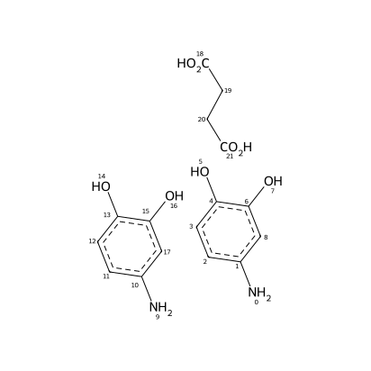 Nc1ccc(O)c(O)c1.Nc1ccc(O)c(O)c1.O=C(O)CCC(=O)O